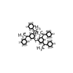 CC(c1[c]c(Cc2[c]c(C(C)c3ccccc3)cc(C(C)c3ccccc3)c2)cc(C(C)c2ccccc2)c1)c1ccccc1